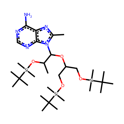 Cc1nc2c(N)ncnc2n1C(OC(CO[Si](C)(C)C(C)(C)C)CO[Si](C)(C)C(C)(C)C)C(C)O[Si](C)(C)C(C)(C)C